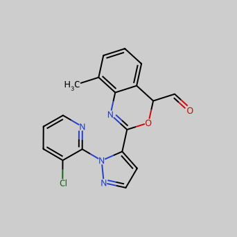 Cc1cccc2c1N=C(c1ccnn1-c1ncccc1Cl)OC2C=O